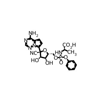 C[C@@H](NP(=O)(OC[C@H]1O[C@@](C#N)(c2ccc3c(N)ncnn23)[C@H](O)[C@@H]1O)Oc1ccccc1)C(=O)O